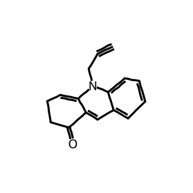 C#CCN1C2=CCCC(=O)C2=Cc2ccccc21